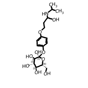 CC(C)NC(O)CCOc1ccc(O[C@@]2(O)O[C@H](CO)[C@@H](O)[C@H](O)[C@H]2O)cc1